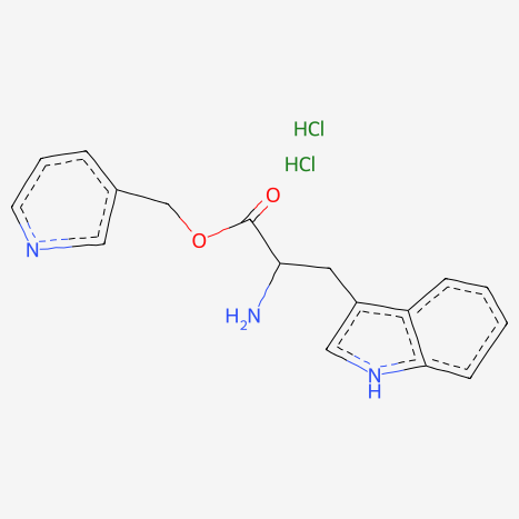 Cl.Cl.NC(Cc1c[nH]c2ccccc12)C(=O)OCc1cccnc1